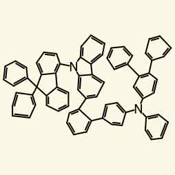 c1ccc(-c2ccc(N(c3ccccc3)c3ccc(-c4ccccc4-c4ccc5c6ccccc6n(-c6cccc7c6-c6ccccc6C7(c6ccccc6)c6ccccc6)c5c4)cc3)cc2-c2ccccc2)cc1